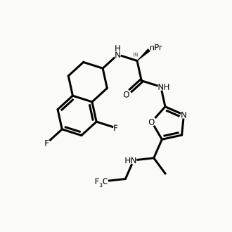 CCC[C@H](NC1CCc2cc(F)cc(F)c2C1)C(=O)Nc1ncc(C(C)NCC(F)(F)F)o1